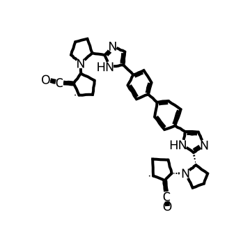 O=C=C1[CH]CCC1N1CCCC1c1ncc(-c2ccc(-c3ccc(-c4cnc([C@@H]5CCCN5[C@H]5CC[CH]C5=C=O)[nH]4)cc3)cc2)[nH]1